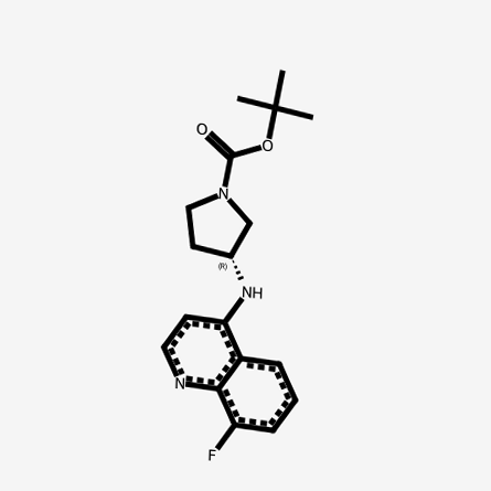 CC(C)(C)OC(=O)N1CC[C@@H](Nc2ccnc3c(F)cccc23)C1